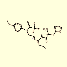 CCC[C@@H](/C=C/CN(C(=O)C(F)(F)F)c1ccc(OC)cc1)NC(=O)[C@@H](N)Cc1cccs1